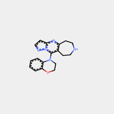 c1ccc2c(c1)OCCN2c1c2c(nc3ccnn13)CCNCC2